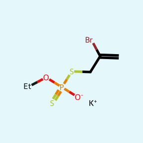 C=C(Br)CSP([O-])(=S)OCC.[K+]